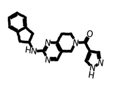 O=C(c1cn[nH]c1)N1CCc2nc(NC3Cc4ccccc4C3)ncc2C1